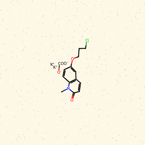 Cn1c(=O)ccc2cc(OCCCCl)ccc21.O=C([O-])[O-].[K+].[K+]